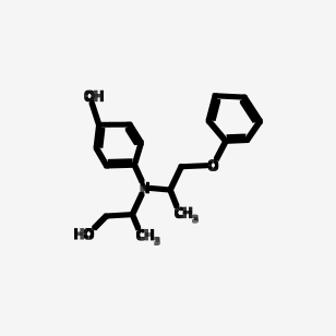 CC(CO)N(c1ccc(O)cc1)C(C)COc1ccccc1